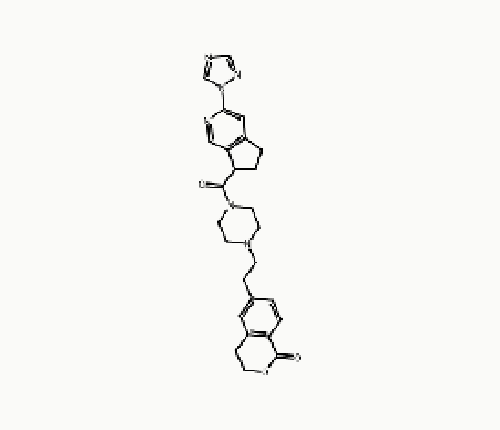 O=C1OCCc2cc(CCN3CCN(C(=O)C4CCc5cc(-n6cncn6)ncc54)CC3)ccc21